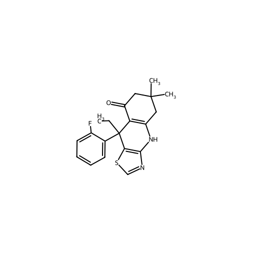 CCC1(c2ccccc2F)C2=C(CC(C)(C)CC2=O)Nc2ncsc21